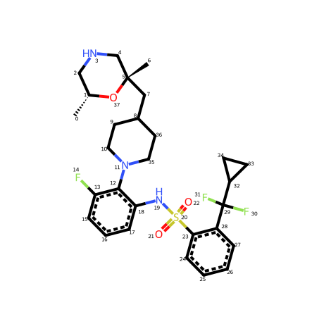 C[C@@H]1CNC[C@](C)(CC2CCN(c3c(F)cccc3NS(=O)(=O)c3ccccc3C(F)(F)C3CC3)CC2)O1